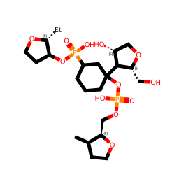 CC[C@H]1OCCC1OP(=O)(O)C1CCCC(OP(=O)(O)OC[C@H]2OCCC2C)(C2[C@H](O)CO[C@@H]2CO)C1